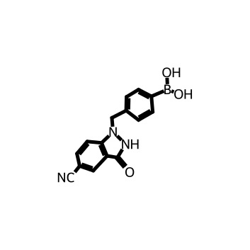 N#Cc1ccc2c(c1)c(=O)[nH]n2Cc1ccc(B(O)O)cc1